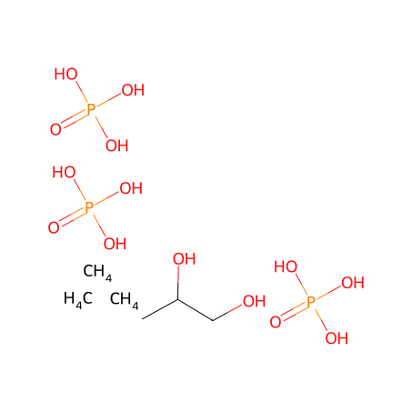 C.C.C.CC(O)CO.O=P(O)(O)O.O=P(O)(O)O.O=P(O)(O)O